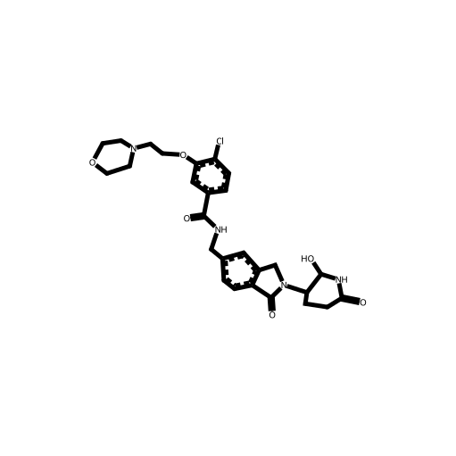 O=C1CCC(N2Cc3cc(CNC(=O)c4ccc(Cl)c(OCCN5CCOCC5)c4)ccc3C2=O)C(O)N1